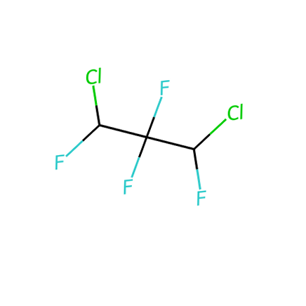 FC(Cl)C(F)(F)C(F)Cl